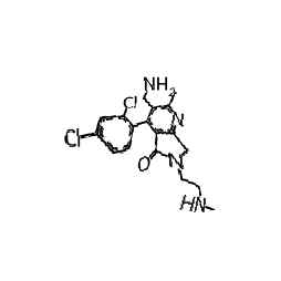 CNCCN1Cc2nc(C)c(CN)c(-c3ccc(Cl)cc3Cl)c2C1=O